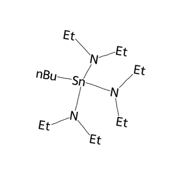 CCC[CH2][Sn]([N](CC)CC)([N](CC)CC)[N](CC)CC